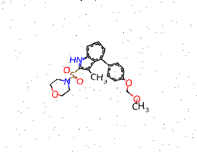 COCOc1ccc(-c2cccc3[nH]c(S(=O)(=O)N4CCOCC4)c(C)c23)cc1